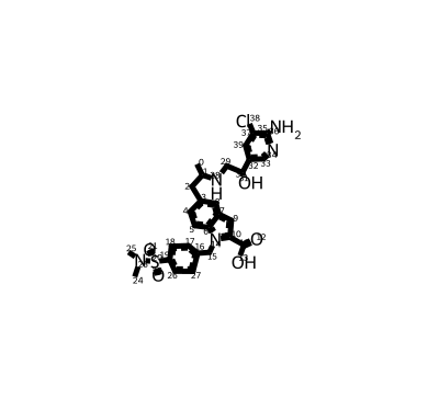 CC(Cc1ccc2c(c1)cc(C(=O)O)n2Cc1ccc(S(=O)(=O)N(C)C)cc1)NCC(O)c1cnc(N)c(Cl)c1